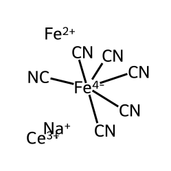 N#[C][Fe-4]([C]#N)([C]#N)([C]#N)([C]#N)[C]#N.[Ce+3].[Fe+2].[Na+]